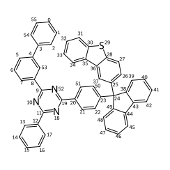 c1ccc(-c2cccc(-c3nc(-c4ccccc4)nc(-c4ccc(C5(c6ccc7sc8ccccc8c7c6)c6ccccc6-c6ccccc65)cc4)n3)c2)cc1